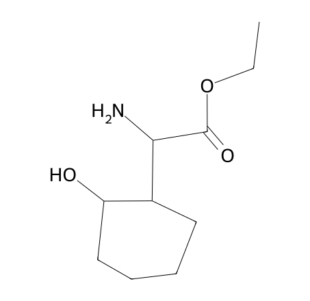 CCOC(=O)C(N)C1CCCCC1O